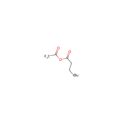 CC(C)(C)CCC(=O)OC(=O)C(F)(F)F